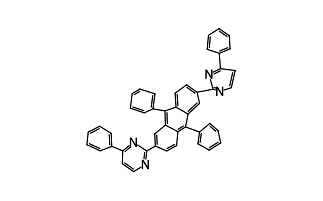 c1ccc(-c2ccnc(-c3ccc4c(-c5ccccc5)c5cc(-c6nccc(-c7ccccc7)n6)ccc5c(-c5ccccc5)c4c3)n2)cc1